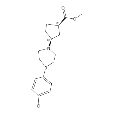 COC(=O)[C@@H]1CC[C@H](N2CCN(c3ccc(Cl)cc3)CC2)C1